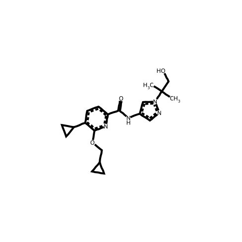 CC(C)(CO)n1cc(NC(=O)c2ccc(C3CC3)c(OCC3CC3)n2)cn1